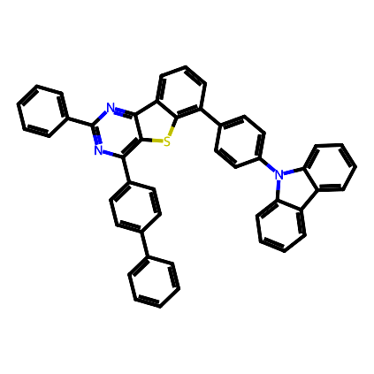 c1ccc(-c2ccc(-c3nc(-c4ccccc4)nc4c3sc3c(-c5ccc(-n6c7ccccc7c7ccccc76)cc5)cccc34)cc2)cc1